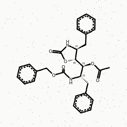 CC(=O)O[C@H]([C@@H]1OC(=O)N[C@H]1Cc1ccccc1)[C@H](Cc1ccccc1)NC(=O)OCc1ccccc1